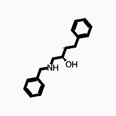 O[C@H]([CH]Cc1ccccc1)CNCc1ccccc1